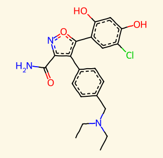 CCN(CC)Cc1ccc(-c2c(C(N)=O)noc2-c2cc(Cl)c(O)cc2O)cc1